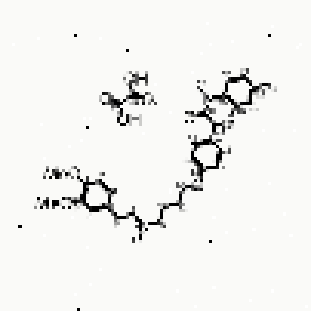 COc1ccc(CCN(C)CCCCOc2ccc(C3Sc4cc(C)ccc4N(C)C3=O)cc2)cc1OC.O=C(O)C(=O)O